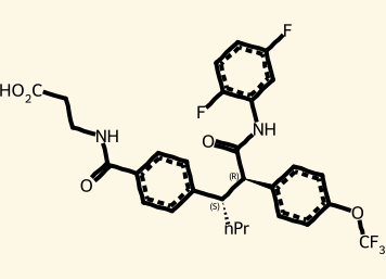 CCC[C@H](c1ccc(C(=O)NCCC(=O)O)cc1)[C@@H](C(=O)Nc1cc(F)ccc1F)c1ccc(OC(F)(F)F)cc1